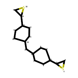 C1CC(C2CS2)CCC1CC1CCC(C2CS2)CC1